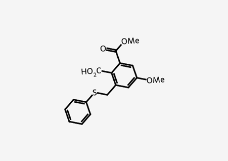 COC(=O)c1cc(OC)cc(CSc2ccccc2)c1C(=O)O